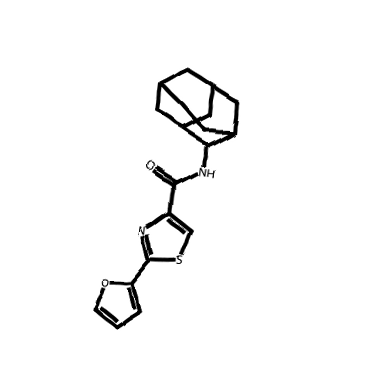 O=C(NC1C2CC3CC(C2)CC1C3)c1csc(-c2ccco2)n1